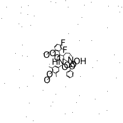 COCOc1ccc(F)c(F)c1C(=O)C1CCCN(C(=O)O)C(OC(=O)c2ccccc2)C1NC(=O)c1cc(C)c(OCOC)c(C)c1